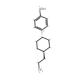 CCCCCCCCc1ccc([C@H]2CC[C@H](CCC(F)(F)F)CC2)cc1